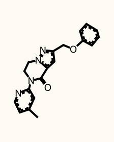 Cc1ccnc(N2CCn3nc(COc4ccccc4)cc3C2=O)c1